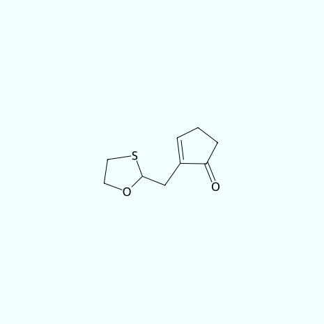 O=C1CCC=C1CC1OCCS1